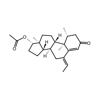 CC=C1C[C@H]2[C@@H]3CC[C@H](OC(C)=O)[C@@]3(C)CC[C@@H]2[C@]2(C)C1=CC(=O)C[C@H]2C